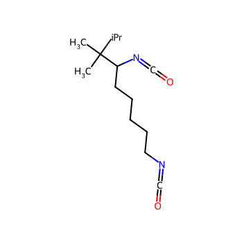 CC(C)C(C)(C)C(CCCCCN=C=O)N=C=O